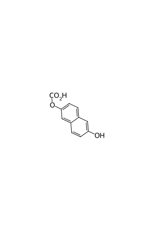 O=C(O)Oc1ccc2cc(O)ccc2c1